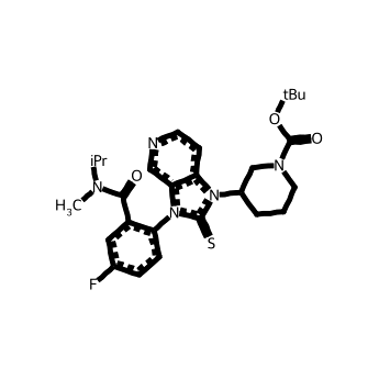 CC(C)N(C)C(=O)c1cc(F)ccc1-n1c(=S)n(C2CCCN(C(=O)OC(C)(C)C)C2)c2ccncc21